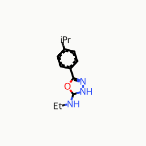 CCNC1NN=C(c2ccc(C(C)C)cc2)O1